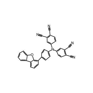 N#Cc1ccc(N(c2ccc(-c3cccc4c3oc3ccccc34)cc2)c2ccc(C#N)c(C#N)c2)cc1C#N